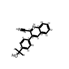 CC(C)(O)c1ccc(-c2cc3ccccc3nc2C#N)cc1